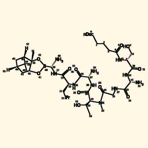 CCCCCCCCCCCCCC(=O)N[C@H](CO)C(=O)N[C@H](N)C(=O)NCC(=O)N(C)[C@H](C(=O)N[C@@H](N)C(=O)N[C@@H](CC(C)C)C(=O)N[C@@H](N)B1OC2C[C@@H]3C[C@@H](C3(C)C)[C@]2(C)O1)C(C)O